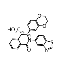 O=C(O)[C@H]1c2ccccc2C(=O)N(c2ccc3scnc3c2)[C@@H]1c1ccc2c(c1)OCCO2